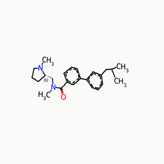 CC(C)Cc1cccc(-c2cccc(C(=O)N(C)C[C@@H]3CCCN3C)c2)c1